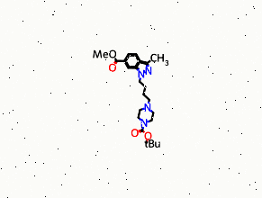 COC(=O)c1ccc2c(C)nn(CCCCN3CCN(C(=O)OC(C)(C)C)CC3)c2c1